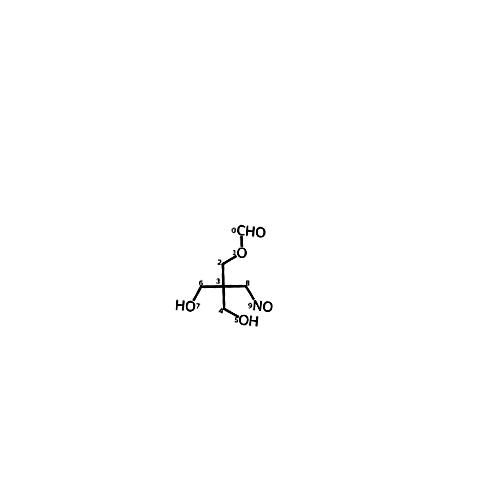 O=COCC(CO)(CO)CN=O